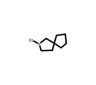 CCN1CCC2(CCCC2)C1